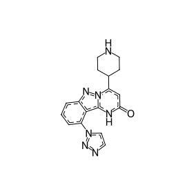 O=c1cc(C2CCNCC2)n2nc3cccc(-n4ccnn4)c3c2[nH]1